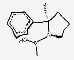 CB(O)N1CCC[C@]1(C)c1ccccc1